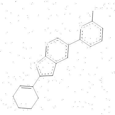 Cc1cccc(-c2cnc3[nH]c(C4=CCCCC4)cc3c2)n1